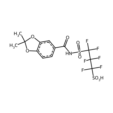 CC1(C)Oc2ccc(C(=O)NS(=O)(=O)C(F)(F)C(F)(F)C(F)(F)S(=O)(=O)O)cc2O1